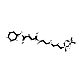 C[Si](C)(C)O[Si](C)(C)CCCOCCOC(=O)/C=C/C(=O)OC1CCCCC1